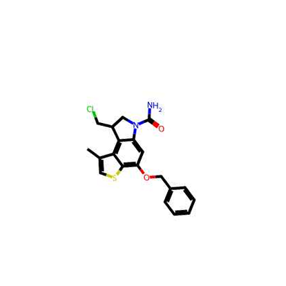 Cc1csc2c(OCc3ccccc3)cc3c(c12)C(CCl)CN3C(N)=O